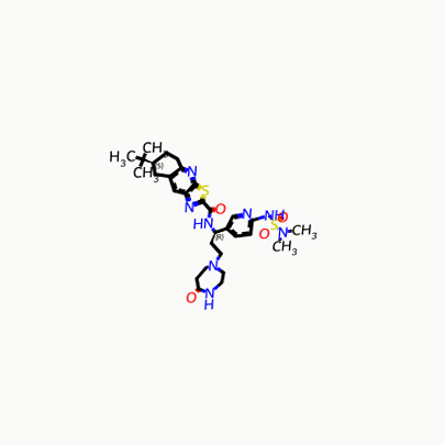 CN(C)S(=O)(=O)Nc1ccc([C@@H](CCN2CCNC(=O)CC2)NC(=O)c2nc3cc4c(nc3s2)CC[C@H](C(C)(C)C)C4)cn1